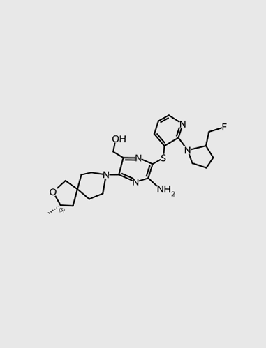 C[C@H]1CC2(CCN(c3nc(N)c(Sc4cccnc4N4CCCC4CF)nc3CO)CC2)CO1